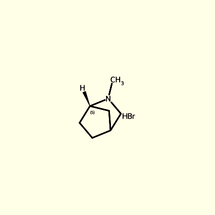 Br.CN1CC2CC[C@H]1C2